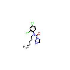 CCCCCN(C(=O)n1ccnc1)c1ccc(Cl)cc1Cl